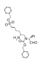 CC(C)[C@@H]([C]=O)N(CC(N)CC/C=C/S(=O)(=O)OCc1ccccc1)C(=O)OCc1ccccc1